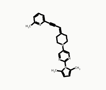 Cc1cccc(C#CC=C2CCN(c3cnc(-n4c(C)ccc4C)nc3)CC2)n1